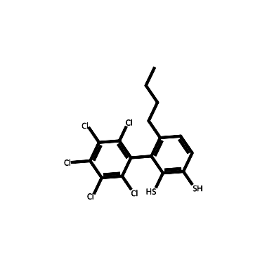 CCCCc1ccc(S)c(S)c1-c1c(Cl)c(Cl)c(Cl)c(Cl)c1Cl